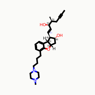 CC#CC[C@H](C)[C@H](O)/C=C/[C@@H]1[C@H]2c3cccc(CCCCN4CCN(C)CC4)c3O[C@H]2C[C@H]1O